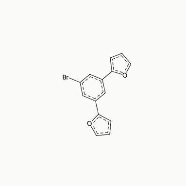 Brc1cc(-c2ccco2)cc(-c2ccco2)c1